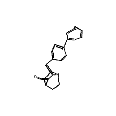 O=C1C(=Cc2ccc(-c3ccccc3)cc2)N2CCC1CC2